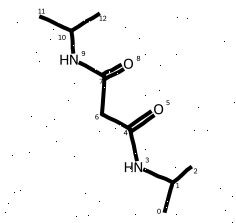 CC(C)NC(=O)CC(=O)NC(C)C